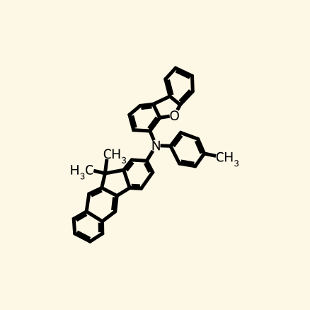 Cc1ccc(N(c2ccc3c(c2)C(C)(C)c2cc4ccccc4cc2-3)c2cccc3c2oc2ccccc23)cc1